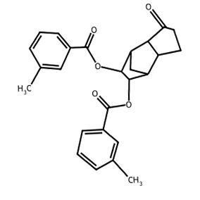 Cc1cccc(C(=O)OC2C3CC(C2OC(=O)c2cccc(C)c2)C2C(=O)CCC32)c1